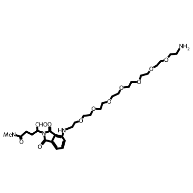 CNC(=O)CCC(C=O)N1C(=O)c2cccc(NCCOCCOCCOCCOCCOCCOCCOCCN)c2C1=O